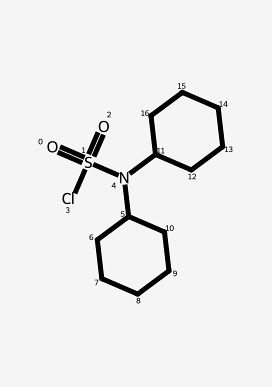 O=S(=O)(Cl)N(C1CCCCC1)C1CCCCC1